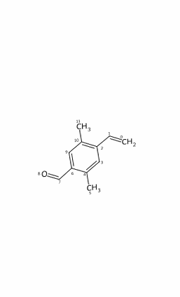 C=Cc1cc(C)c(C=O)cc1C